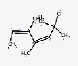 C/C=C(C)\C(C)=C/C(C)(C)Cl